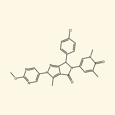 COc1ncc(-n2nc3c(c2C)C(=O)N(c2cc(C)c(=O)n(C)c2)C3c2ccc(Cl)cc2)cn1